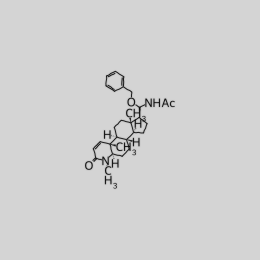 CC(=O)NC(OCc1ccccc1)[C@H]1CC[C@H]2[C@@H]3CC[C@H]4N(C)C(=O)C=C[C@]4(C)[C@H]3CC[C@]12C